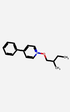 CCC(C)CO[n+]1ccc(-c2ccccc2)cc1